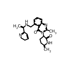 C=C1CCC(n2c(C)nc3cccc(CNC(=C)C4=NCCC=C4)c3c2=O)C(=O)N1